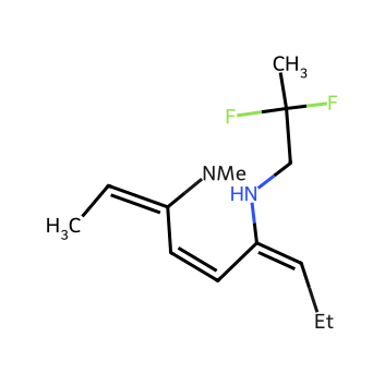 C\C=C(/C=C\C(=C/CC)NCC(C)(F)F)NC